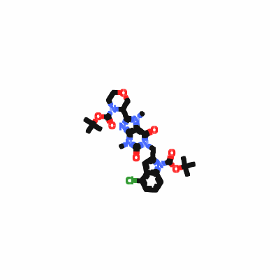 Cn1c(C2COCCN2C(=O)OC(C)(C)C)nc2c1c(=O)n(Cc1cc3c(Cl)cccc3n1C(=O)OC(C)(C)C)c(=O)n2C